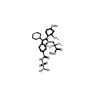 CCN(CC)S(=O)(=O)NC(=O)c1ccc2c(C3CCCCC3)c(-c3ccc(OC)cc3C)n(CC(C)(C)C(=O)OC)c2c1